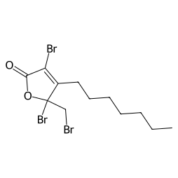 CCCCCCCC1=C(Br)C(=O)OC1(Br)CBr